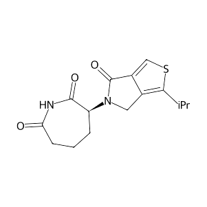 CC(C)c1scc2c1CN([C@H]1CCCC(=O)NC1=O)C2=O